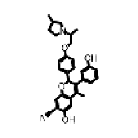 CC1=C(c2cccc(O)c2)C(c2ccc(OCC(C)N3CCC(C)C3)cc2)Oc2cc(C#N)c(O)cc21